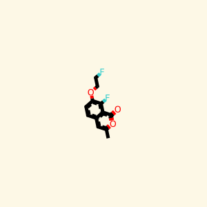 Cc1cc2ccc(OCCF)c(F)c2c(=O)o1